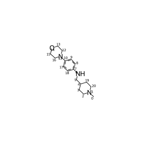 CN1CCC(CNc2ccc(N3CCOCC3)cc2)CC1